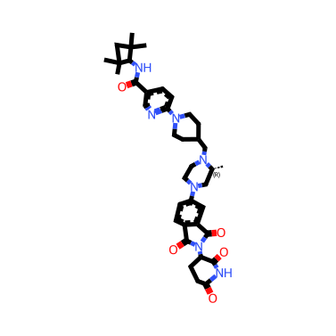 C[C@@H]1CN(c2ccc3c(c2)C(=O)N(C2CCC(=O)NC2=O)C3=O)CCN1CC1CCN(c2ccc(C(=O)NC3C(C)(C)CC3(C)C)cn2)CC1